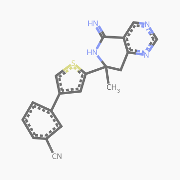 CC1(c2cc(-c3cccc(C#N)c3)cs2)Cc2ncncc2C(=N)N1